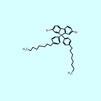 CCCCCCCCc1ccc([Si]2(c3ccc(CCCCCCCC)cc3)c3cc(Br)ccc3-c3ccc(Br)cc32)cc1